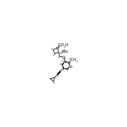 Cc1ncc(C#CC2CC2)cc1OC[C@@]1(C(C)(C)C)CCN1C(=O)O